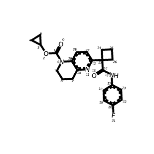 O=C(OC1CC1)N1CCCc2nc(C3(C(=O)Nc4ccc(F)cc4)CCC3)ccc21